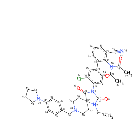 CCN1C(=O)N(c2ccc(-c3cccc(C#N)c3N(C(C)=O)C(C)=O)cc2Cl)C(=O)C12CCN(Cc1ccc(N3CCCC3)cc1)CC2